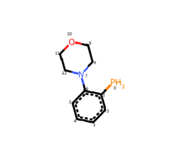 Pc1ccccc1N1CCOCC1